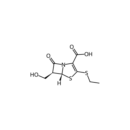 CCSC1=C(C(=O)O)N2C(=O)[C@H](CO)[C@H]2S1